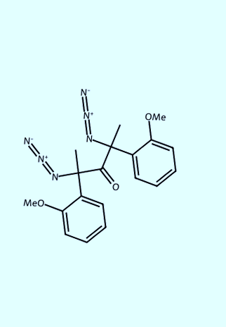 COc1ccccc1C(C)(N=[N+]=[N-])C(=O)C(C)(N=[N+]=[N-])c1ccccc1OC